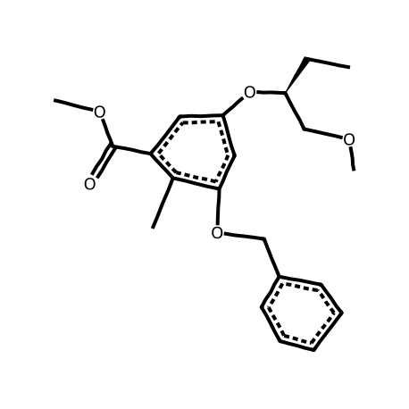 CC[C@@H](COC)Oc1cc(OCc2ccccc2)c(C)c(C(=O)OC)c1